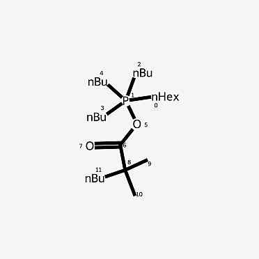 CCCCCCP(CCCC)(CCCC)(CCCC)OC(=O)C(C)(C)CCCC